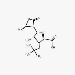 C[C@H]1OC(=O)[C@H]1[C@@H]1N=C(C(=O)O)C(SC(C)(C)C)[C@@H]1C